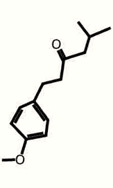 COc1ccc(CCC(=O)CC(C)C)cc1